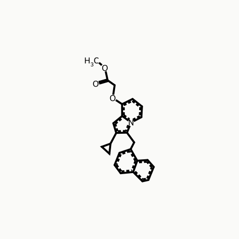 COC(=O)COc1cccn2c(Cc3cccc4ccccc34)c(C3CC3)cc12